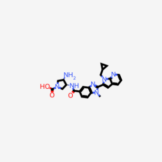 Cn1c(-c2cc3cccnc3n2CC2CC2)nc2cc(C(=O)N[C@@H]3CN(C(=O)O)C[C@H]3N)ccc21